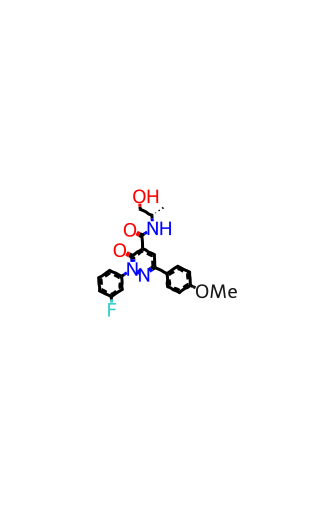 COc1ccc(-c2cc(C(=O)N[C@@H](C)CO)c(=O)n(-c3cccc(F)c3)n2)cc1